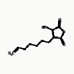 C=CCCCCCC1C(=O)OC(=O)C1CCC